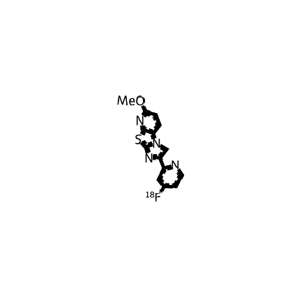 COc1ccc2c(n1)sc1nc(-c3cc([18F])ccn3)cn12